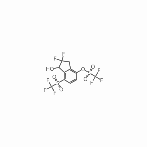 O=S(=O)(Oc1ccc(S(=O)(=O)C(F)(F)F)c2c1CC(F)(F)C2O)C(F)(F)F